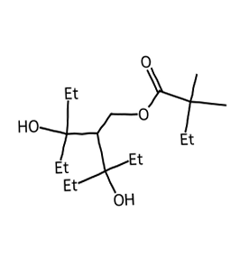 CCC(C)(C)C(=O)OCC(C(O)(CC)CC)C(O)(CC)CC